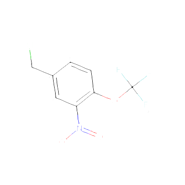 O=[N+]([O-])c1cc(CCl)ccc1OC(F)(F)F